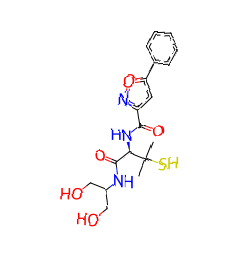 CC(C)(S)[C@H](NC(=O)c1cc(-c2ccccc2)on1)C(=O)NC(CO)CO